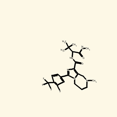 CNC(=O)C(NC(=O)c1nc(-c2ccc(C(F)(F)F)c(F)c2)n2c1CN(C)CCC2)C(C)(C)C